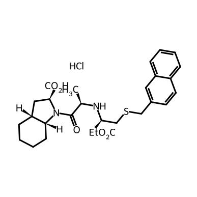 CCOC(=O)[C@H](CSCc1ccc2ccccc2c1)N[C@H](C)C(=O)N1[C@@H]2CCCC[C@@H]2C[C@H]1C(=O)O.Cl